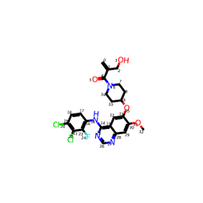 C=C(CO)C(=O)N1CCC(Oc2cc3c(Nc4ccc(Cl)c(Cl)c4F)ncnc3cc2OC)CC1